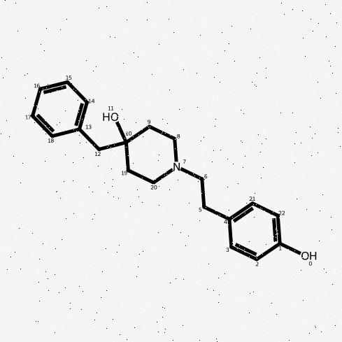 Oc1ccc(CCN2CCC(O)(Cc3ccccc3)CC2)cc1